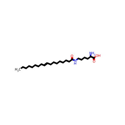 CCCCCCCCC=CCCCCCCCC(=O)NCCCCC(N)C(=O)O